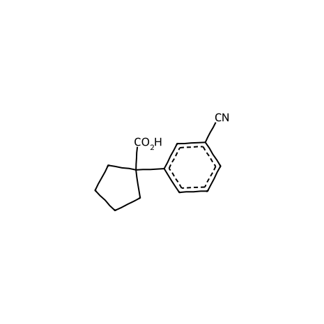 N#Cc1cccc(C2(C(=O)O)CCCC2)c1